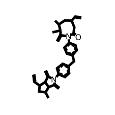 C=CC1CC(=O)N(c2ccc(Cc3ccc(N4C(=C)C5C(C)CC(C=C)C5C4=C)cc3)cc2)C(=C)C(C)C(C)C1